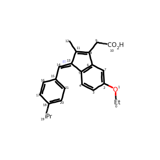 CCOc1ccc2c(c1)C(CC(=O)O)=C(C)/C2=C/c1ccc(C(C)C)cc1